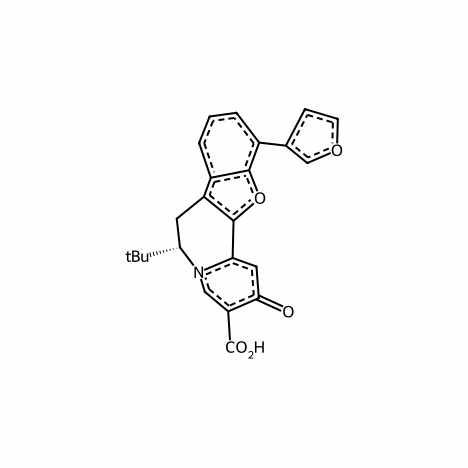 CC(C)(C)[C@@H]1Cc2c(oc3c(-c4ccoc4)cccc23)-c2cc(=O)c(C(=O)O)cn21